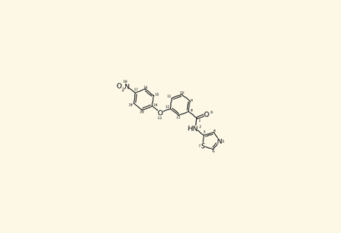 O=C(Nc1cncs1)c1cccc(Oc2ccc([N+](=O)[O-])cc2)c1